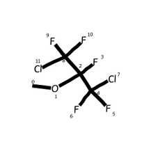 COC(F)(C(F)(F)Cl)C(F)(F)Cl